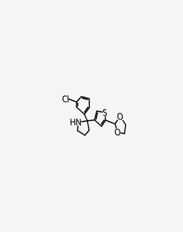 Clc1cccc(C2(c3csc(C4OCCO4)c3)CCCN2)c1